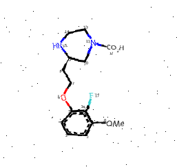 COc1cccc(OCC[C@@H]2CN(C(=O)O)CCN2)c1F